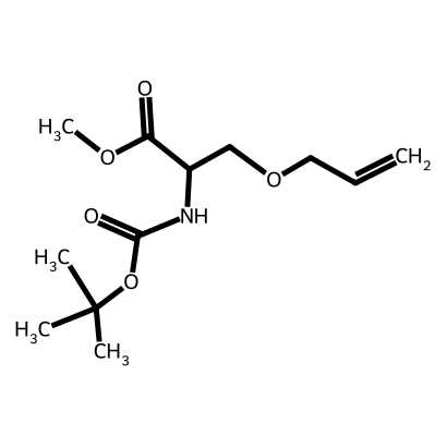 C=CCOCC(NC(=O)OC(C)(C)C)C(=O)OC